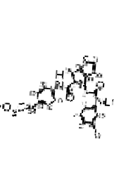 CCN(C(=O)Cn1c(C(=O)Nc2ccc(CC(=O)O)cc2)cc2sccc21)c1cccc(C)c1